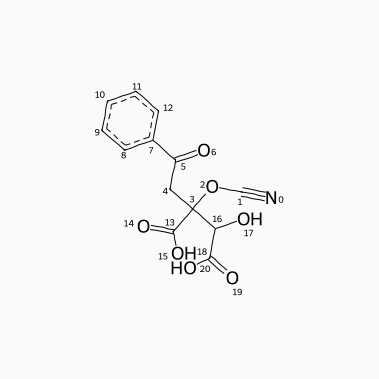 N#COC(CC(=O)c1ccccc1)(C(=O)O)C(O)C(=O)O